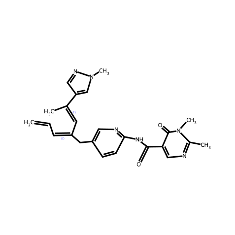 C=C/C=C(\C=C(/C)c1cnn(C)c1)Cc1ccc(NC(=O)c2cnc(C)n(C)c2=O)nc1